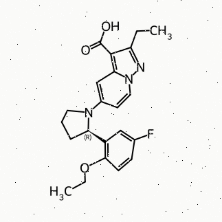 CCOc1ccc(F)cc1[C@H]1CCCN1c1ccn2nc(CC)c(C(=O)O)c2c1